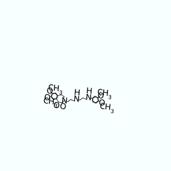 COc1ccc(NCCCNCCCN2CCc3cc(OC)c(OC)cc3C(=O)C2=O)cc1OC